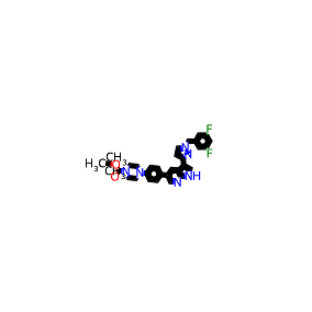 CC(C)(C)OC(=O)N1CCN(c2ccc(-c3cnc4[nH]cc(-c5ccn(Cc6cc(F)cc(F)c6)n5)c4c3)cc2)CC1